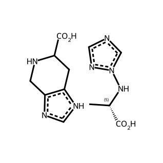 C[C@H](Nn1cncn1)C(=O)O.O=C(O)C1Cc2[nH]cnc2CN1